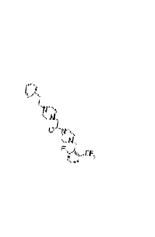 O=C(CN1CCN(CCc2ccccc2)CC1)N1CCN(Cc2c(F)cccc2C(F)(F)F)CC1